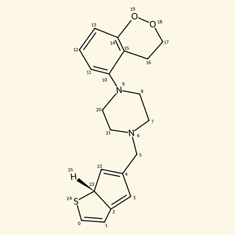 C1=CC2=CC(CN3CCN(c4cccc5c4CCOO5)CC3)=C[C@H]2S1